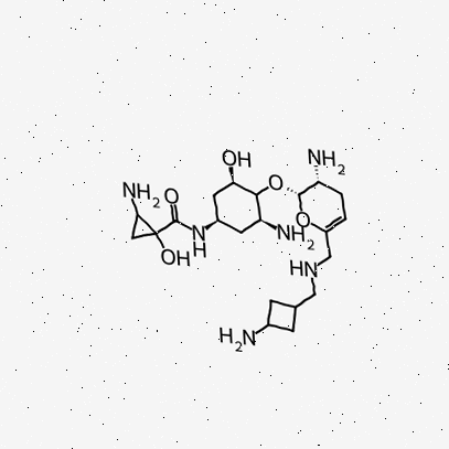 NC1CC(CNCC2=CC[C@@H](N)[C@@H](OC3[C@H](O)C[C@H](NC(=O)C4(O)CC4N)C[C@@H]3N)O2)C1